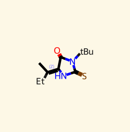 CC/C(C)=C1\NC(=S)N(C(C)(C)C)C1=O